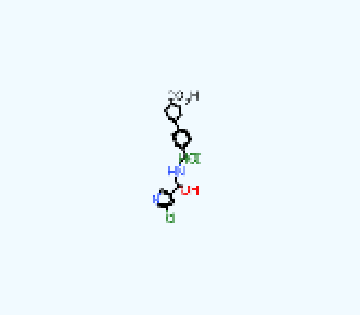 Cl.Cl.O=C(O)c1ccc(-c2ccc(CCNC[C@H](O)c3cncc(Cl)c3)cc2)cc1